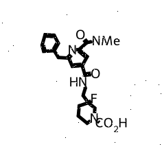 CNC(=O)c1cc(C(=O)NCCC2(F)CCCN(C(=O)O)C2)cc(Cc2ccccc2)n1